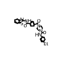 CCc1ccc(NC(=O)N2CCN(C(=O)c3ccc(C(=O)Nc4nc5ccccc5s4)cc3)CC2)cc1